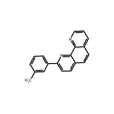 Cc1cccc(-c2ccc3ccc4cccnc4c3n2)c1